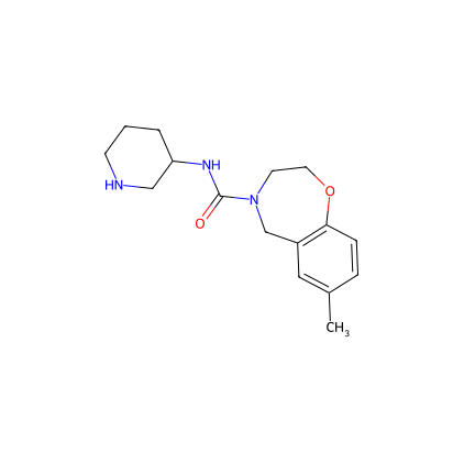 Cc1ccc2c(c1)CN(C(=O)NC1CCCNC1)CCO2